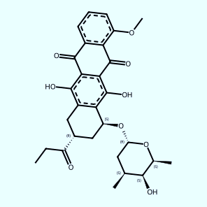 CCC(=O)[C@@H]1Cc2c(O)c3c(c(O)c2[C@@H](O[C@H]2C[C@H](C)[C@H](O)[C@H](C)O2)C1)C(=O)c1c(OC)cccc1C3=O